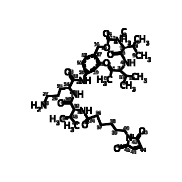 CC(=O)[C@@H](NC(=O)[C@H](C(C)C)N(C)C(=O)OCc1ccc(NC(=O)[C@H](CCCN)NC(=O)[C@@H](NC(=O)CCCCCN2C(=O)C=CC2=O)C(C)C)cc1)C(C)C